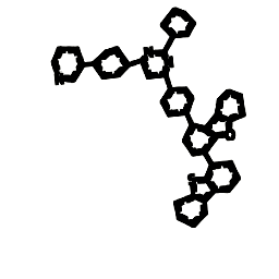 c1ccc(-c2nc(-c3ccc(-c4cccnc4)cc3)cc(-c3ccc(-c4ccc(-c5cccc6c5sc5ccccc56)c5oc6ccccc6c45)cc3)n2)cc1